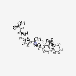 C/C(=N\OCc1ccc(C2CCCCC2)c(C(F)(F)F)c1)c1ccc(CNCCC(=O)O)s1